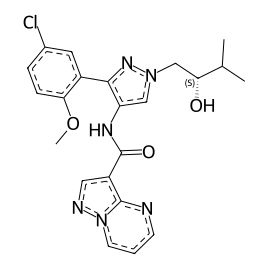 COc1ccc(Cl)cc1-c1nn(C[C@@H](O)C(C)C)cc1NC(=O)c1cnn2cccnc12